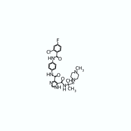 CN1CCN(CC(C)(C)NC(=O)c2[nH]cnc2C(=O)Nc2ccc(NC(=O)c3ccc(F)cc3Cl)cc2)CC1